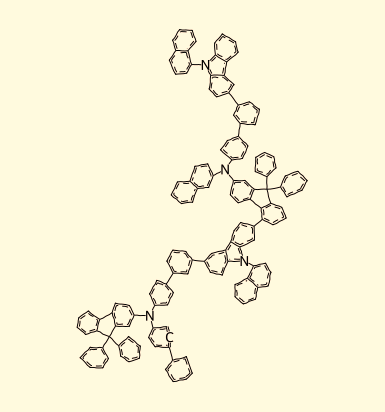 c1ccc(-c2ccc(N(c3ccc(-c4cccc(-c5ccc6c(c5)c5ccc(-c7cccc8c7-c7ccc(N(c9ccc(-c%10cccc(-c%11ccc%12c(c%11)c%11ccccc%11n%12-c%11cccc%12ccccc%11%12)c%10)cc9)c9ccc%10ccccc%10c9)cc7C8(c7ccccc7)c7ccccc7)cc5n6-c5cccc6ccccc56)c4)cc3)c3ccc4c(c3)C(c3ccccc3)(c3ccccc3)c3ccccc3-4)cc2)cc1